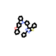 c1ccc(-c2nc(-c3cccc(-n4c5ccccc5c5cc6oc7ccccc7c6cc54)c3)c3c(n2)sc2ccccc23)cc1